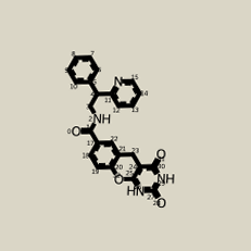 O=C(NCC(c1ccccc1)c1ccccn1)c1ccc2c(c1)Cc1c([nH]c(=O)[nH]c1=O)O2